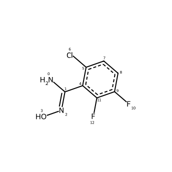 NC(=NO)c1c(Cl)ccc(F)c1F